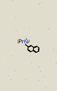 CC(C)[N+](C)(C)Cc1ccc2ccccc2c1